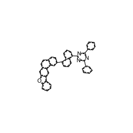 c1ccc(-c2nc(-c3ccccc3)nc(-c3cccc4c(-c5ccc6ccc7cc8oc9ccccc9c8cc7c6c5)cccc34)n2)cc1